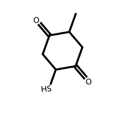 CC1CC(=O)C(S)CC1=O